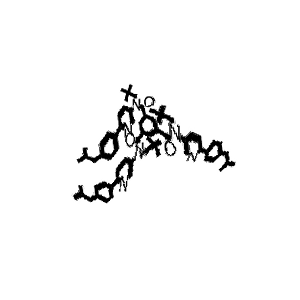 CC(C)Cc1ccc(-c2ccc(N(CC(C)(C)C)C(=O)C3CC(C(=O)N(CC(C)(C)C)c4ccc(-c5ccc(CC(C)C)cc5)nc4)CC(C(=O)N(CC(C)(C)C)c4ccc(-c5ccc(CC(C)C)cc5)nc4)C3)cn2)cc1